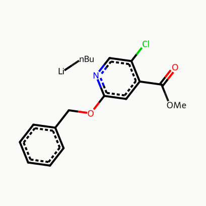 COC(=O)c1cc(OCc2ccccc2)ncc1Cl.[Li][CH2]CCC